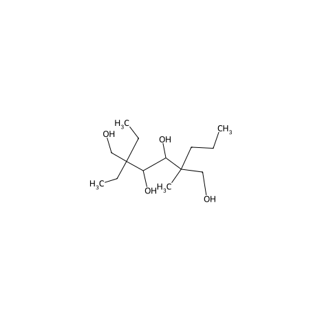 CCCC(C)(CO)C(O)C(O)C(CC)(CC)CO